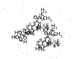 CCN(CC)C(=O)[C@@H]1C=C2c3cccc4[nH]cc(c34)C[C@H]2N(CCC(F)(F)F)C1.CCN(CC)C(=O)[C@@H]1C=C2c3cccc4[nH]cc(c34)C[C@H]2N(CCC(F)(F)F)C1.O=C(O)C(O)C(O)C(=O)O